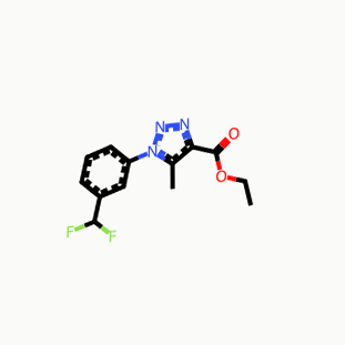 CCOC(=O)c1nnn(-c2cccc(C(F)F)c2)c1C